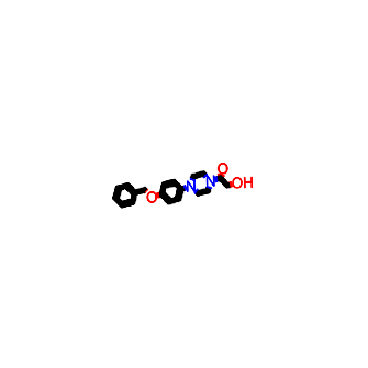 O=C(CO)N1CCN(c2ccc(OCc3ccccc3)cc2)CC1